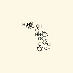 COc1ccccc1[C@@H](O)c1cc(C(=O)c2cncnc2N[C@@H]2C[C@H](COS(N)(=O)=O)[C@@H](O)C2)sc1Cl